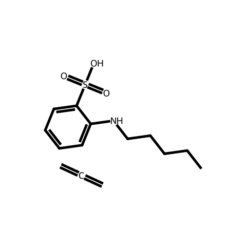 C=C=C.CCCCCNc1ccccc1S(=O)(=O)O